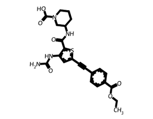 CCOC(=O)c1ccc(C#Cc2cc(NC(N)=O)c(C(=O)NC3CCCN(C(=O)O)C3)s2)cc1